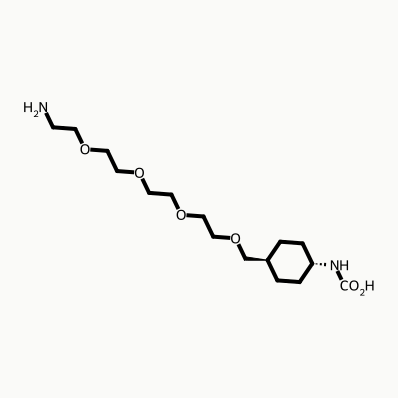 NCCOCCOCCOCCOC[C@H]1CC[C@H](NC(=O)O)CC1